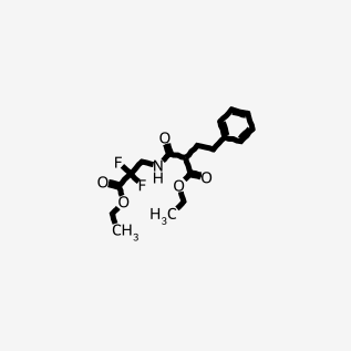 CCOC(=O)C(CCc1ccccc1)C(=O)NCC(F)(F)C(=O)OCC